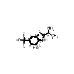 Br.C[C@H](N)c1nc2cc(C(F)(F)F)ccc2[nH]1